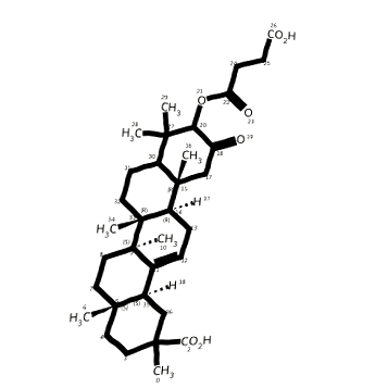 CC1(C(=O)O)CC[C@]2(C)CC[C@]3(C)C(=CC[C@@H]4[C@@]5(C)CC(=O)C(OC(=O)CCC(=O)O)C(C)(C)C5CC[C@]43C)[C@H]2C1